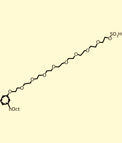 CCCCCCCCc1cccc(OCCOCCOCCOCCOCCOCCOCCOCCOCCOS(=O)(=O)O)c1